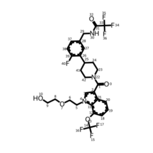 O=C(c1cn(CCOCCO)c2c(OC(F)(F)F)cccc12)N1CCC(c2cc(CNC(=O)C(F)(F)F)ccc2F)CC1